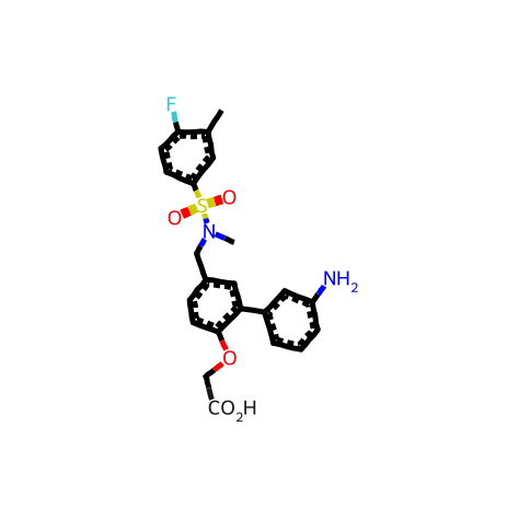 Cc1cc(S(=O)(=O)N(C)Cc2ccc(OCC(=O)O)c(-c3cccc(N)c3)c2)ccc1F